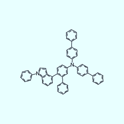 c1ccc(-c2ccc(N(c3ccc(-c4ccccc4)cc3)c3ccc(-c4cccc5c4ccn5-c4ccccc4)c(-c4ccccc4)c3)cc2)cc1